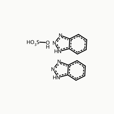 O=S(=O)(O)O.c1ccc2[nH]nnc2c1.c1ccc2[nH]nnc2c1